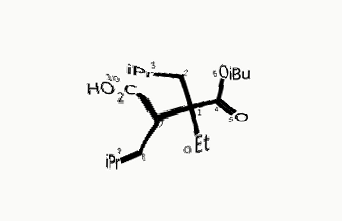 CCC(CC(C)C)(C(=O)OCC(C)C)C(CC(C)C)C(=O)O